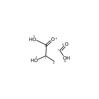 CC(O)C(=O)O.O=CO